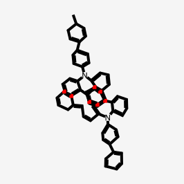 C=C(/C=C\C=C1\C=CC=CC1)N(c1ccc(-c2ccccc2)cc1)c1ccccc1-c1ccc(-c2ccccc2N(c2ccc(C3=CCC(C)C=C3)cc2)c2cccc3ccccc23)cc1